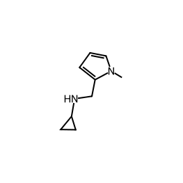 Cn1cccc1CNC1CC1